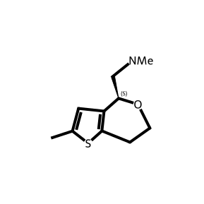 CNC[C@H]1OCCc2sc(C)cc21